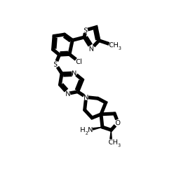 Cc1csc(-c2cccc(Sc3cnc(N4CCC5(CC4)CO[C@@H](C)[C@H]5N)cn3)c2Cl)n1